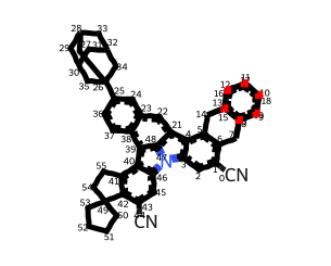 N#Cc1cc2c(c3c1C1c4ccccc4C3c3ccccc31)c1cc3cc(C45CC6CC(CC(C6)C4)C5)ccc3c3c4c5c(c(C#N)cc4n2c13)C1(CCCC1)CC5